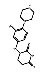 O=C1CCC(Nc2cnc(N3CCNCC3)c(C(F)(F)F)c2)C(=O)N1